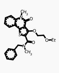 CCOCCOc1c(C(=O)N(C)Cc2ccccc2)sc2c1c(=O)n(C)c1ccccc21